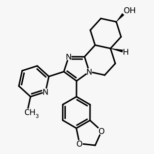 Cc1cccc(-c2nc3n(c2-c2ccc4c(c2)OCO4)CC[C@H]2C[C@H](O)CCC32)n1